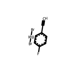 C#Cc1ccc(F)cc1.[Br][Mg][Br]